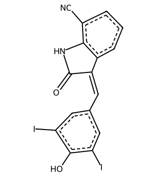 N#Cc1cccc2c1NC(=O)/C2=C\c1cc(I)c(O)c(I)c1